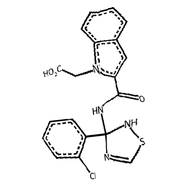 O=C(O)Cn1c(C(=O)NC2(c3ccccc3Cl)N=CSN2)cc2ccccc21